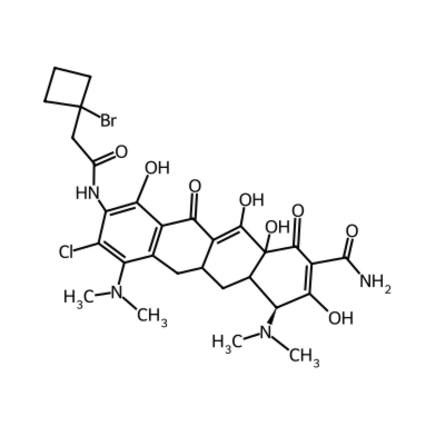 CN(C)c1c(Cl)c(NC(=O)CC2(Br)CCC2)c(O)c2c1CC1CC3[C@H](N(C)C)C(O)=C(C(N)=O)C(=O)C3(O)C(O)=C1C2=O